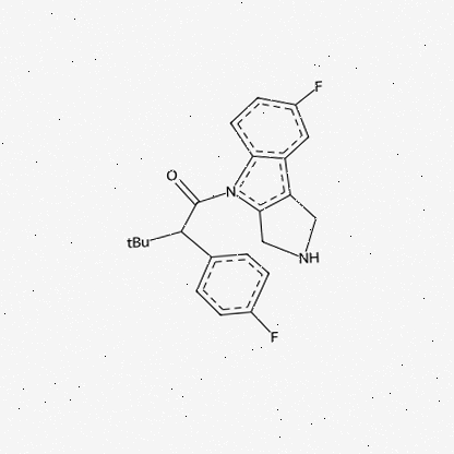 CC(C)(C)C(C(=O)n1c2c(c3cc(F)ccc31)CNC2)c1ccc(F)cc1